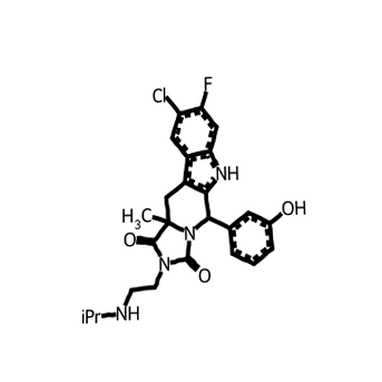 CC(C)NCCN1C(=O)N2C(c3cccc(O)c3)c3[nH]c4cc(F)c(Cl)cc4c3CC2(C)C1=O